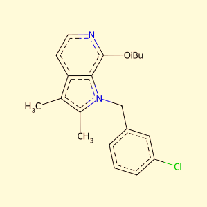 Cc1c(C)n(Cc2cccc(Cl)c2)c2c(OCC(C)C)nccc12